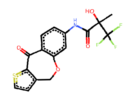 CC(O)(C(=O)Nc1ccc2c(c1)OCc1ccsc1C2=O)C(F)(F)F